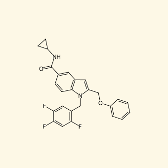 O=C(NC1CC1)c1ccc2c(c1)cc(COc1ccccc1)n2Cc1cc(F)c(F)cc1F